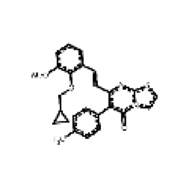 COc1cccc(C=Cc2nc3sccn3c(=O)c2-c2ccc(C(F)(F)F)cc2)c1OCC1CC1